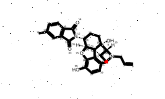 C=CCN1CC2[C@@H]1[C@]1(O)CC[C@@H](N3C(=O)c4ccc(C)cc4C3=O)[C@@H]3Oc4c(O)ccc(C)c4[C@@]231